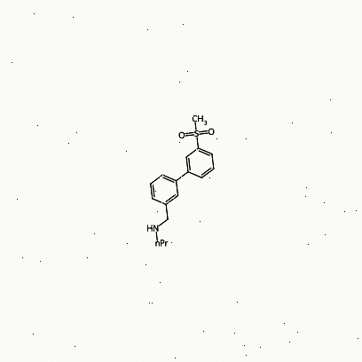 CCCNCc1cccc(-c2cccc(S(C)(=O)=O)c2)c1